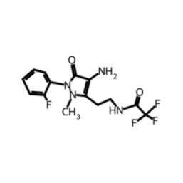 Cn1c(CCNC(=O)C(F)(F)F)c(N)c(=O)n1-c1ccccc1F